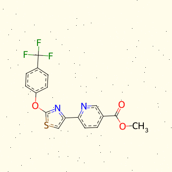 COC(=O)c1ccc(-c2csc(Oc3ccc(C(F)(F)F)cc3)n2)nc1